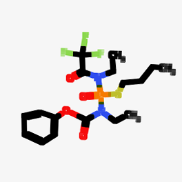 CCCCSP(=O)(N(CC)C(=O)Oc1ccccc1)N(CC)C(=O)C(F)(F)F